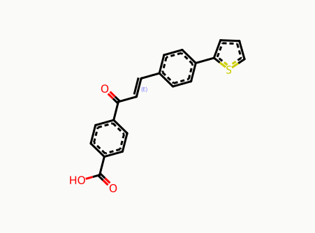 O=C(O)c1ccc(C(=O)/C=C/c2ccc(-c3cccs3)cc2)cc1